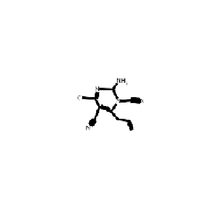 C=CCC1=C(C#N)C(Cl)=NC(N)N1C#N